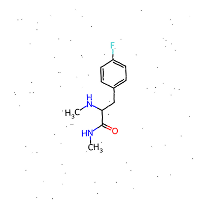 CNC(=O)C(Cc1ccc(F)cc1)NC